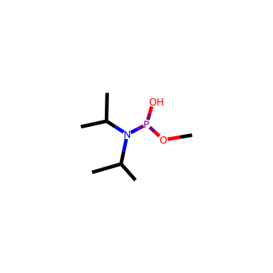 COP(O)N(C(C)C)C(C)C